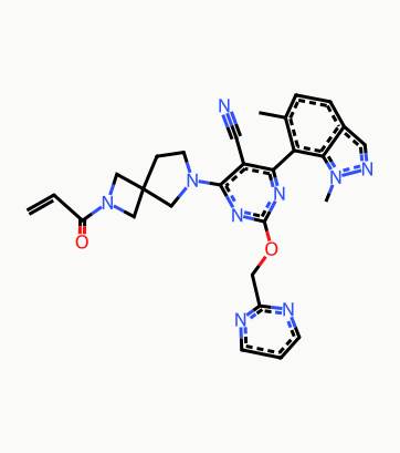 C=CC(=O)N1CC2(CCN(c3nc(OCc4ncccn4)nc(-c4c(C)ccc5cnn(C)c45)c3C#N)C2)C1